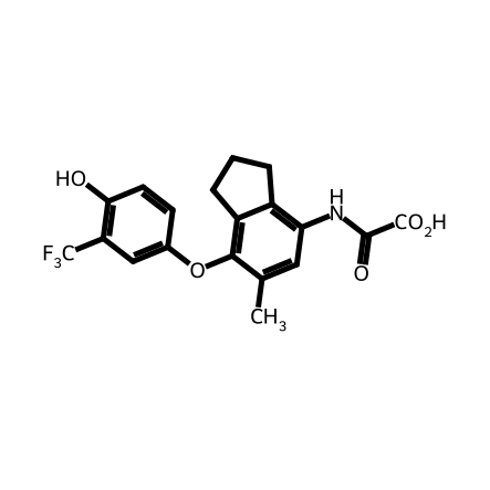 Cc1cc(NC(=O)C(=O)O)c2c(c1Oc1ccc(O)c(C(F)(F)F)c1)CCC2